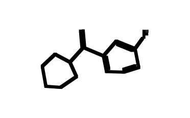 C=C(c1cccc(F)c1)C1CCCCC1